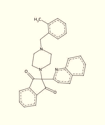 Cc1ccccc1CN1CCN(C2(c3ccc4ccccc4n3)C(=O)c3ccccc3C2=O)CC1